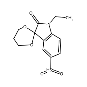 CCN1C(=O)C2(OCCCO2)c2cc([SH](=O)=O)ccc21